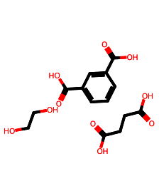 O=C(O)CCC(=O)O.O=C(O)c1cccc(C(=O)O)c1.OCCO